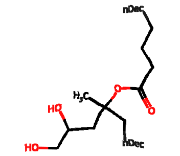 CCCCCCCCCCCCCC(=O)OC(C)(CCCCCCCCCCC)CC(O)CO